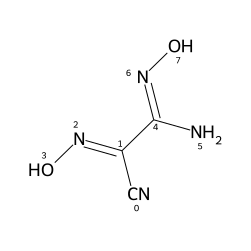 N#CC(=N\O)/C(N)=N/O